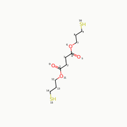 O=C(CCC(=O)OCCCS)OCCCS